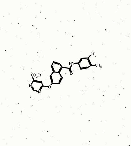 CCOC(=O)c1cc(Oc2ccc3c(C(=O)Nc4ccc(C)c(C(F)(F)F)c4)cccc3c2)ncn1